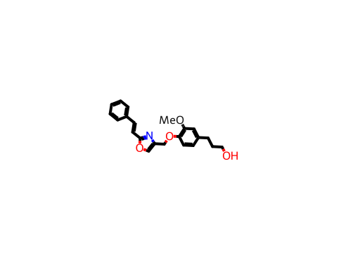 COc1cc(CCCO)ccc1OCc1coc(C=Cc2ccccc2)n1